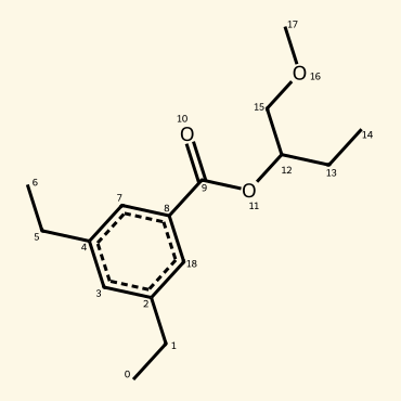 CCc1cc(CC)cc(C(=O)OC(CC)COC)c1